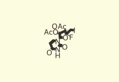 CC(=O)O[C@H]1[C@H](n2ccc(=O)[nH]c2=O)O[C@](F)(CI)[C@H]1OC(C)=O